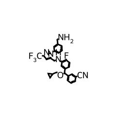 N#Cc1cccc(C(OCC2CC2)c2ccc(F)c(NCc3cc(C(F)(F)F)nn3-c3cccc(CN)c3)c2)c1